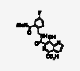 CNC(=O)c1cc(F)ccc1CNC(=O)c1nc(C(=O)O)c2cccnc2c1O